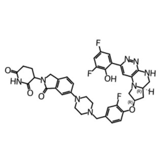 O=C1CCC(N2Cc3ccc(N4CCN(Cc5ccc(O[C@@H]6C[C@@H]7CNc8nnc(-c9cc(F)cc(F)c9O)cc8N7C6)c(F)c5)CC4)cc3C2=O)C(=O)N1